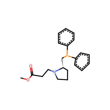 COC(=O)CCN1CCC[C@H]1CP(c1ccccc1)c1ccccc1